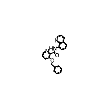 O=C(Nc1cccc2cccnc12)c1ncccc1OCc1ccccc1